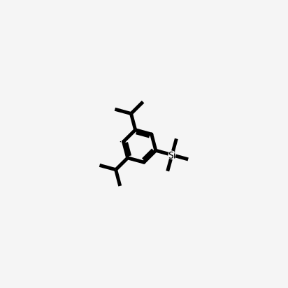 CC(C)c1[c]c(C(C)C)cc([Si](C)(C)C)c1